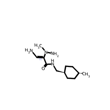 CN(N)/C(=C\N)C(=O)NC[C@H]1CC[C@H](C)CC1